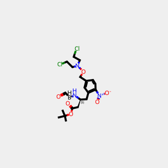 CC(C)(C)OC(=O)C[C@H](Cc1cc(CON(CCCl)CCCl)ccc1[N+](=O)[O-])NBC=O